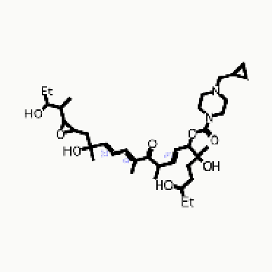 CCC(O)CCC(C)(O)C(/C=C/C(C)C(=O)/C(C)=C/C=C/C(C)(O)CC1OC1C(C)C(O)CC)OC(=O)N1CCN(CC2CC2)CC1